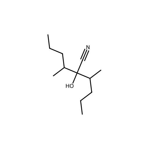 CCCC(C)C(O)(C#N)C(C)CCC